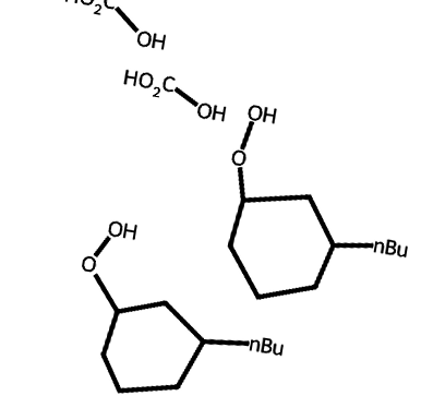 CCCCC1CCCC(OO)C1.CCCCC1CCCC(OO)C1.O=C(O)O.O=C(O)O